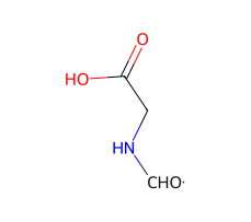 O=[C]NCC(=O)O